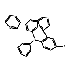 CC(C)c1ccc(B(c2ccccc2)c2ccccc2)c(-c2ccccc2)c1.c1ccncc1